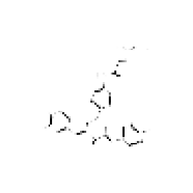 CN(C)CCC(=O)Nc1ccc(C2C/C(=C\c3ccc(F)c(F)c3)C(=O)/C(=C/c3ccc(F)c(F)c3)C2)cc1